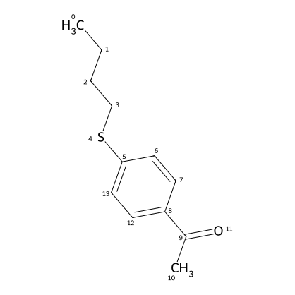 CCCCSc1ccc(C(C)=O)cc1